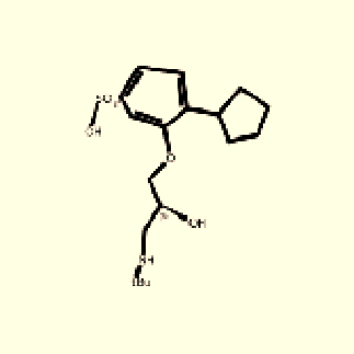 CC(C)(C)NC[C@H](O)COc1ccccc1C1CCCC1.O=S(=O)(O)O